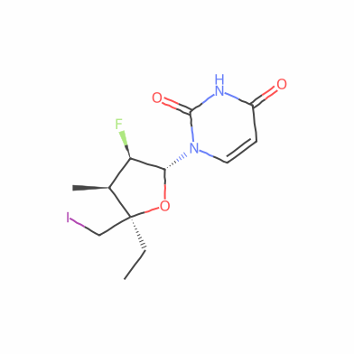 CC[C@@]1(CI)O[C@@H](n2ccc(=O)[nH]c2=O)[C@H](F)[C@@H]1C